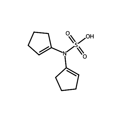 O=S(=O)(O)N(C1=CCCC1)C1=CCCC1